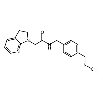 CNCc1ccc(CNC(=O)CN2CCc3cccnc32)cc1